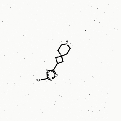 Cc1noc(C2CC3(CCNCC3)C2)n1